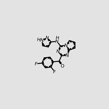 O=C(c1nc(Nc2cc[nH]n2)n2cccc2n1)c1ccc(F)cc1F